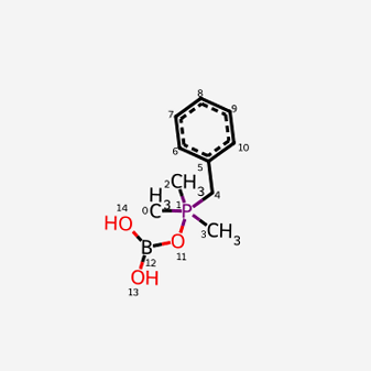 CP(C)(C)(Cc1ccccc1)OB(O)O